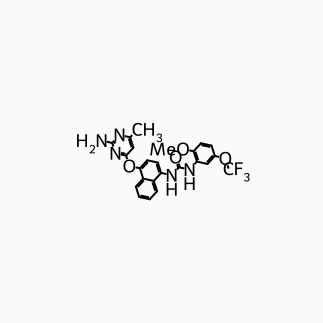 COc1ccc(OC(F)(F)F)cc1NC(=O)Nc1ccc(Oc2cc(C)nc(N)n2)c2ccccc12